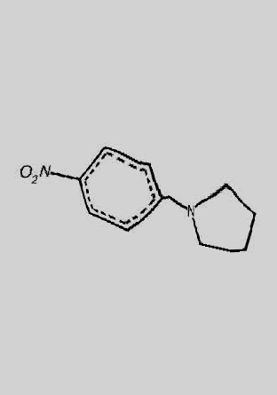 O=[N+]([O-])c1ccc(N2CCCC2)cc1